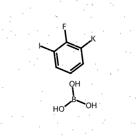 Fc1[c]([K])cccc1I.OB(O)O